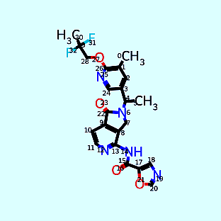 Cc1cc(C(C)N2Cc3c(ccnc3NC(=O)c3cnco3)C2=O)cnc1OCC(C)(F)F